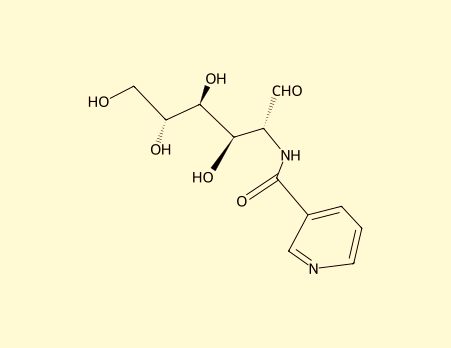 O=C[C@H](NC(=O)c1cccnc1)[C@@H](O)[C@H](O)[C@H](O)CO